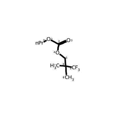 CCCOC(=O)OCC(C)(C)C(F)(F)F